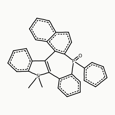 C[Si]1(C)C2=C(c3ccccc31)c1c(ccc3ccccc13)P(=O)(c1ccccc1)c1ccccc12